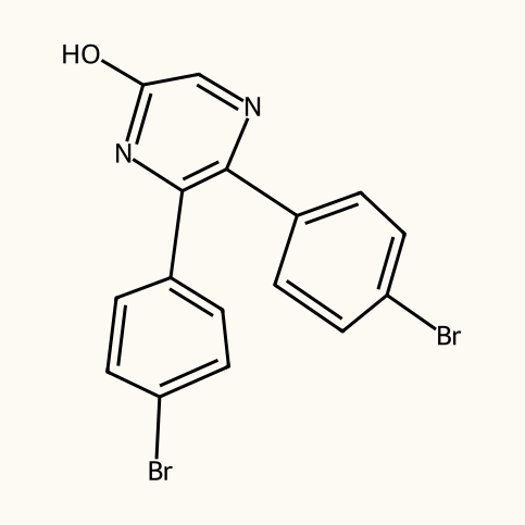 Oc1cnc(-c2ccc(Br)cc2)c(-c2ccc(Br)cc2)n1